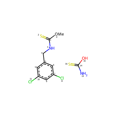 COC(=S)NCc1cc(Cl)cc(Cl)c1.NC(O)=S